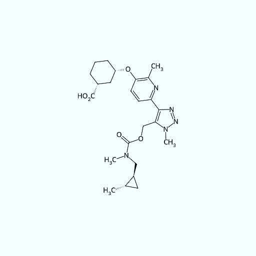 Cc1nc(-c2nnn(C)c2COC(=O)N(C)C[C@H]2C[C@@H]2C)ccc1O[C@H]1CCC[C@@H](C(=O)O)C1